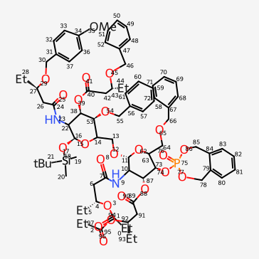 CCC(=O)O[C@H](CC)CC(=O)NC1[C@H](OCC2O[C@@H](O[Si](C)(C)C(C)(C)C)C(NC(=O)C[C@@H](CC)OCc3ccc(OC)cc3)[C@@H](OC(=O)C[C@@H](CC)OCc3ccccc3)[C@H]2OCc2ccccc2)OC(COCc2ccccc2)[C@@H](OP2(=O)OCc3ccccc3CO2)[C@@H]1OC(=O)C[C@@H](CC)OC(=O)CC